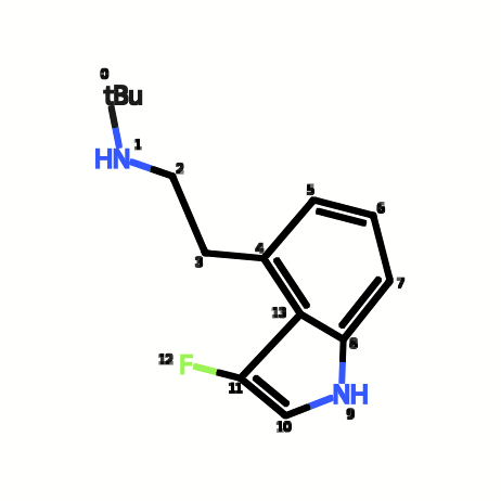 CC(C)(C)NCCc1cccc2[nH]cc(F)c12